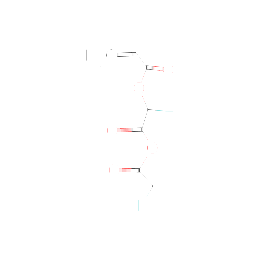 C=CC(=O)OC(F)C(=O)OC(=O)CF